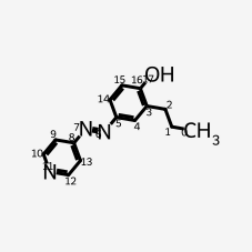 CCCc1cc(N=Nc2ccncc2)ccc1O